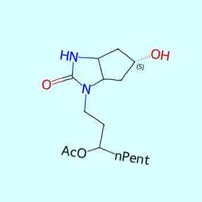 CCCCCC(CCN1C(=O)NC2C[C@H](O)CC21)OC(C)=O